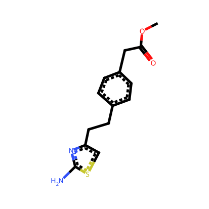 COC(=O)Cc1ccc(CCc2csc(N)n2)cc1